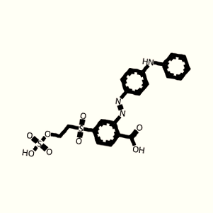 O=C(O)c1ccc(S(=O)(=O)CCOS(=O)(=O)O)cc1N=Nc1ccc(Nc2ccccc2)cc1